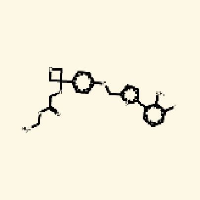 CCOC(=O)COC1(c2ccc(OCc3ccc(-c4cccc(Cl)c4C)s3)cc2)COC1